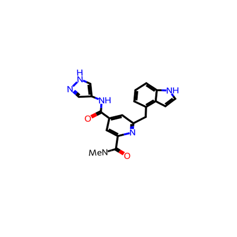 CNC(=O)c1cc(C(=O)Nc2cn[nH]c2)cc(Cc2cccc3[nH]ccc23)n1